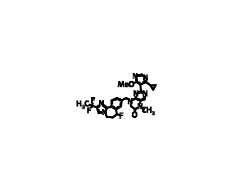 COc1ncnc(C2CC2)c1-c1ncc2c(n1)N(Cc1ccc3c(c1)C(F)CCn1cc(C(C)(F)F)nc1-3)CC(=O)N2C